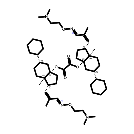 CC(=C[C@H]1CC[C@]2(OC(=O)C(=O)O[C@]34CC[C@H](C=C(C)/C=N/OCCN(C)C)[C@@]3(C)CC[C@H](C3CCCCC3)C4)C[C@@H](C3CCCCC3)CC[C@]12C)/C=N/OCCN(C)C